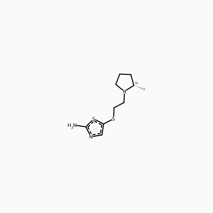 C[C@H]1CCCN1CCSc1cnc(N)s1